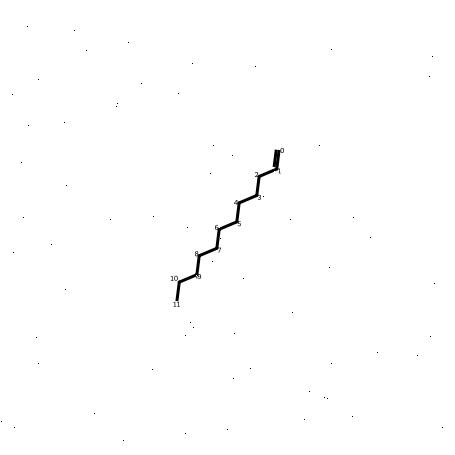 C=CCCCCCCC[CH]CC